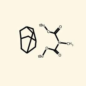 C1C2CC3CC1CC(C2)C3.CN(C(=O)OC(C)(C)C)C(=O)OC(C)(C)C